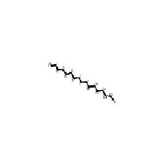 [CH]=CCCCCCCCCC=CCCCCC